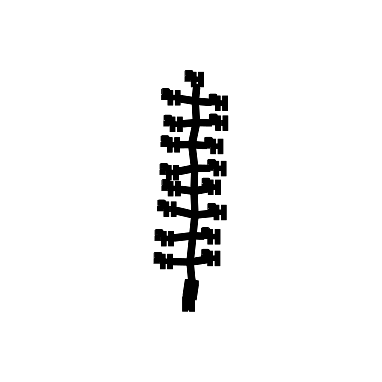 [2H]C([2H])([2H])C([2H])([2H])C([2H])([2H])C([2H])([2H])C([2H])([2H])C([2H])([2H])C([2H])([2H])C([2H])([2H])C#N